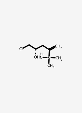 C=C(C[C@H](O)CCl)[Si](C)(C)C